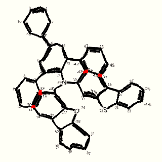 c1ccc(-c2cc(-c3ccccc3)c(N(c3ccc4c(c3)sc3ccccc34)c3cccc4c3oc3ccccc34)c(-c3ccccc3)c2)cc1